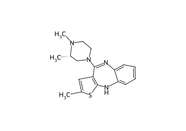 Cc1cc2c(s1)Nc1ccccc1N=C2N1CCN(C)[C@@H](C)C1